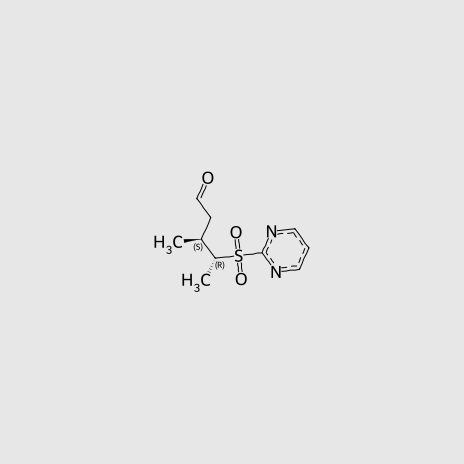 C[C@H]([C@@H](C)CC=O)S(=O)(=O)c1ncccn1